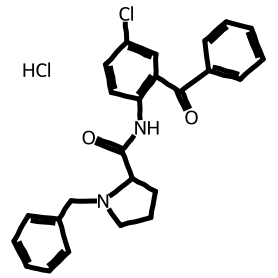 Cl.O=C(c1ccccc1)c1cc(Cl)ccc1NC(=O)C1CCCN1Cc1ccccc1